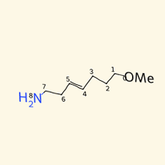 COCCC/C=C/CCN